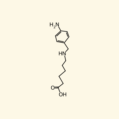 Nc1ccc(CNCCCCCC(=O)O)cc1